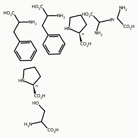 CC(C)C(N)C(=O)O.NC(CO)C(=O)O.NC(Cc1ccccc1)C(=O)O.NC(Cc1ccccc1)C(=O)O.NCC(=O)O.O=C(O)[C@@H]1CCCN1.O=C(O)[C@@H]1CCCN1